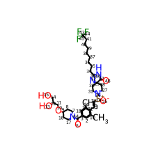 Cc1cc(C(=O)N2CCC(OC[C@H](O)CO)CC2)cc(C)c1/C=C/[S@+]([O-])N1CCC2(CC1)N=C(CCCCCCCCC(F)(F)F)NC2=O